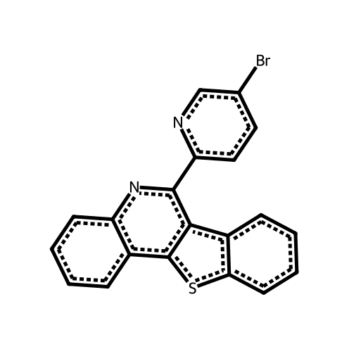 Brc1ccc(-c2nc3ccccc3c3sc4ccccc4c23)nc1